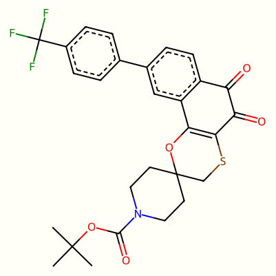 CC(C)(C)OC(=O)N1CCC2(CC1)CSC1=C(O2)c2cc(-c3ccc(C(F)(F)F)cc3)ccc2C(=O)C1=O